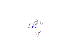 CC1(C)c2ccccc2-c2ccc(N(c3ccc(-c4cccc5c4oc4ccccc45)cc3)c3ccc4c5c(cccc35)-c3ccccc3-4)cc21